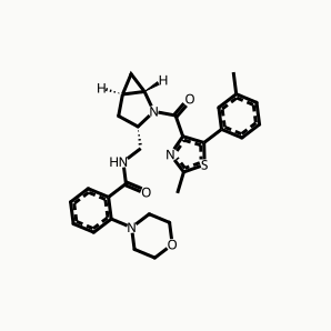 Cc1cccc(-c2sc(C)nc2C(=O)N2[C@H](CNC(=O)c3ccccc3N3CCOCC3)C[C@H]3C[C@@H]32)c1